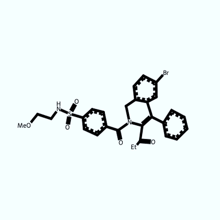 CCC(=O)C1=C(c2ccccc2)c2cc(Br)ccc2CN1C(=O)c1ccc(S(=O)(=O)NCCOC)cc1